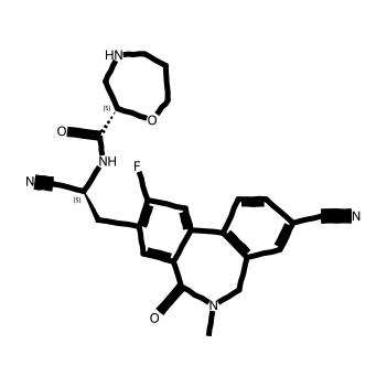 CN1Cc2cc(C#N)ccc2-c2cc(F)c(C[C@@H](C#N)NC(=O)[C@@H]3CNCCCO3)cc2C1=O